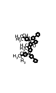 CC(C)(C)c1ccc(N(c2ccc(-c3ccccc3)cc2)c2ccc3c(c2)C(C)(C)c2cc(N(c4ccc(-c5ccccc5)cc4)c4ccc(C(C)(C)C)cc4)c4c(oc5ccccc54)c2-3)cc1